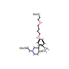 COCCOCCCCOc1ccc(C)c(C2CN(CCOC)CC[C@@H]2C)c1